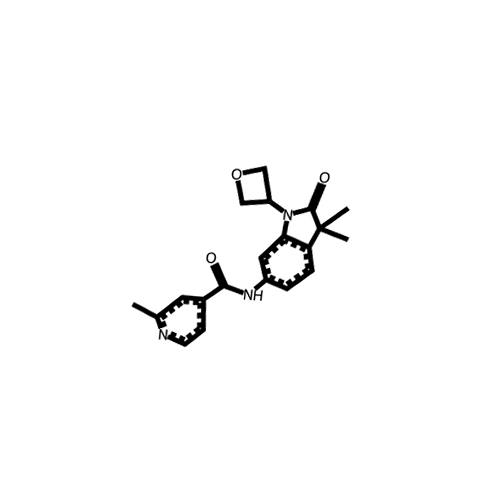 Cc1cc(C(=O)Nc2ccc3c(c2)N(C2COC2)C(=O)C3(C)C)ccn1